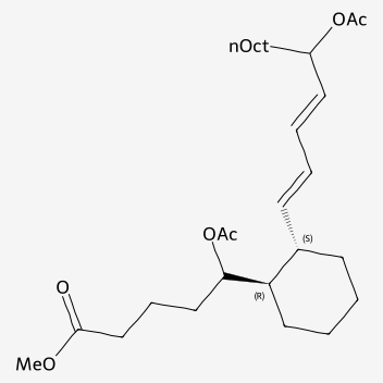 CCCCCCCCC(C=CC=C[C@@H]1CCCC[C@H]1C(CCCC(=O)OC)OC(C)=O)OC(C)=O